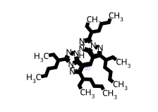 CCCCC(CC)c1nn2c(C(CC)CCCC)n[nH]c2c1/C=c1/c(C(CC)CCCC)nn2c(C(CC)CCCC)nnc12